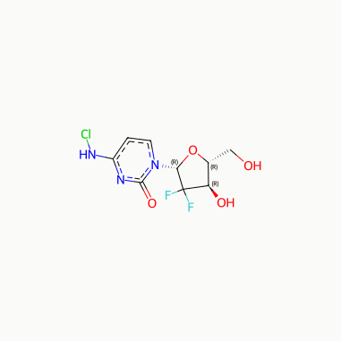 O=c1nc(NCl)ccn1[C@@H]1O[C@H](CO)[C@@H](O)C1(F)F